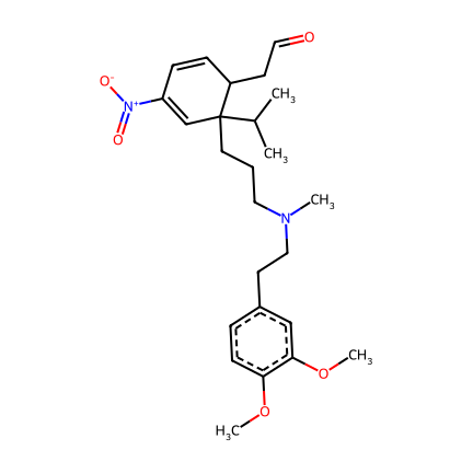 COc1ccc(CCN(C)CCCC2(C(C)C)C=C([N+](=O)[O-])C=CC2CC=O)cc1OC